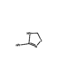 CCCC1=NSCN1